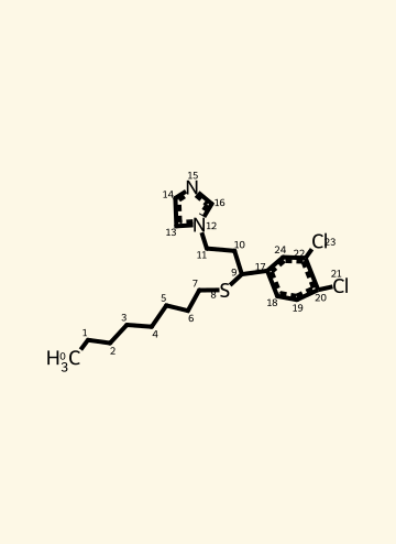 CCCCCCCCSC(CCn1ccnc1)c1ccc(Cl)c(Cl)c1